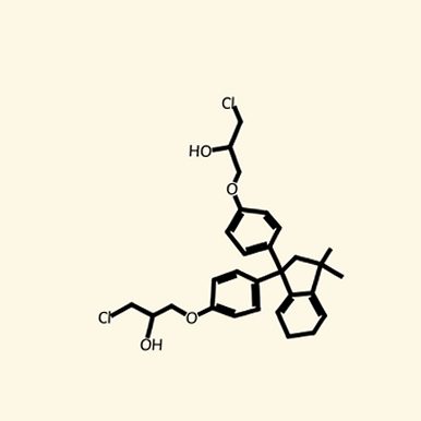 CC1(C)CC(c2ccc(OCC(O)CCl)cc2)(c2ccc(OCC(O)CCl)cc2)C2=CCCC=C21